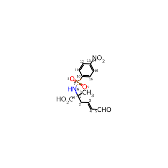 C[C@@](CC=CC=O)(NS(=O)(=O)c1ccc([N+](=O)[O-])cc1)C(=O)O